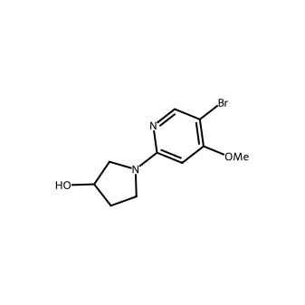 COc1cc(N2CCC(O)C2)ncc1Br